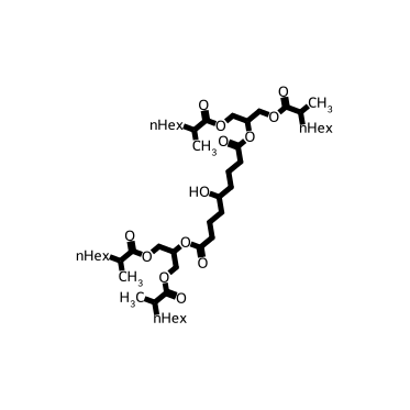 CCCCCCC(C)C(=O)OCC(COC(=O)C(C)CCCCCC)OC(=O)CCCC(O)CCCC(=O)OC(COC(=O)C(C)CCCCCC)COC(=O)C(C)CCCCCC